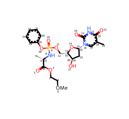 COCCOC(=O)[C@H](C)NP(=O)(OC[C@@H]1O[C@H](n2cc(C)c(=O)[nH]c2=O)C[C@H]1O)Oc1ccccc1